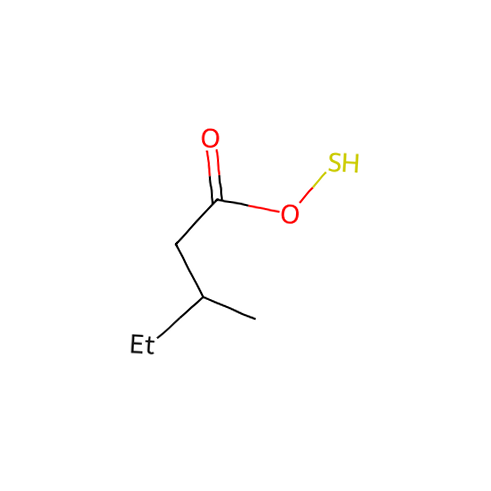 CCC(C)CC(=O)OS